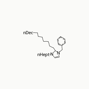 CCCCCCCCCCCCCCCCCC1N(CCCCCCC)C=CN1Cc1ccccc1